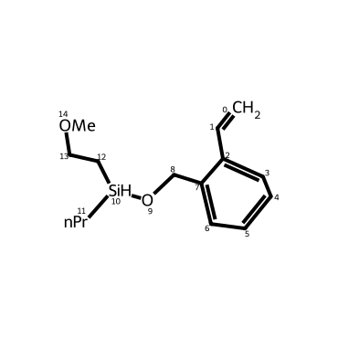 C=Cc1ccccc1CO[SiH](CCC)CCOC